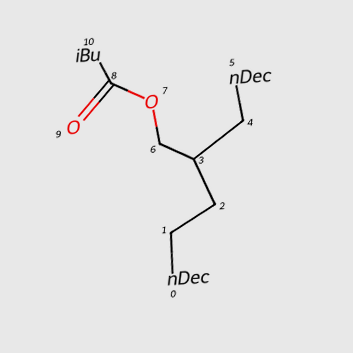 CCCCCCCCCCCCC(CCCCCCCCCCC)COC(=O)C(C)CC